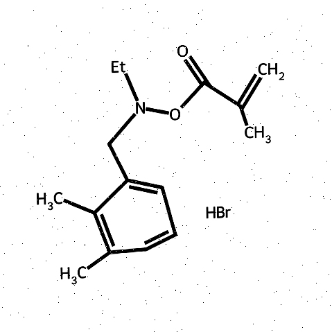 Br.C=C(C)C(=O)ON(CC)Cc1cccc(C)c1C